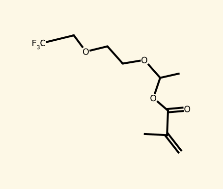 C=C(C)C(=O)OC(C)OCCOCC(F)(F)F